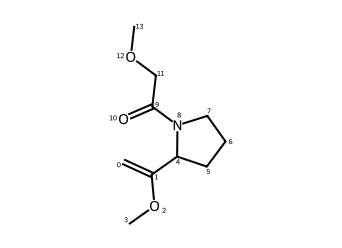 C=C(OC)C1CCCN1C(=O)COC